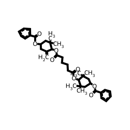 C=C1CC(OC(=O)c2ccccc2)CC(C)(C)C1OC(=O)CCCCC(=O)OC1C(C)(C)CC(OC(=O)c2ccccc2)CC1(C)C